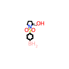 Bc1ccc(S(=O)(=O)N2CCC[C@@H]2CO)cc1